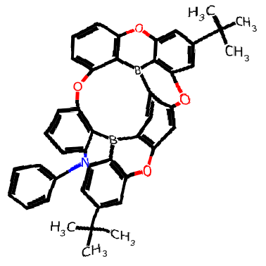 CC(C)(C)c1cc2c3c(c1)Oc1cccc4c1B3c1cc3c(cc1O2)Oc1cc(C(C)(C)C)cc2c1B3c1c(cccc1N2c1ccccc1)O4